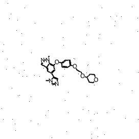 Cn1cncc1-c1cc(Oc2ccc(OCCOC3CCOCC3)cc2)c2c(cnn2C)c1